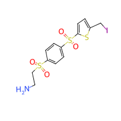 NCCS(=O)(=O)c1ccc(S(=O)(=O)c2ccc(CI)s2)cc1